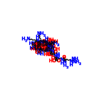 CSCC[C@H](NC(=O)[C@H](CO)NC(=O)[C@@H](NC(=O)[C@H](CO)NC(=O)[C@@H](NC(=O)[C@H](CO)NC(=O)[C@@H](NC(=O)CNC(=O)[C@@H](N)CCCNC(=N)N)[C@@H](C)O)[C@@H](C)O)[C@@H](C)O)C(=O)N[C@@H](CCCCN)C(=O)N[C@@H](CCCCN)C(=O)N[C@@H](C)C(=O)N[C@@H](CO)C(=O)N[C@@H](CO)C(=O)N[C@H](C(=O)N[C@@H](C)C(=O)N[C@@H](CC(N)=O)C(=O)N[C@H](C(=O)N[C@@H](C)C(=O)N[C@@H](CC(=O)O)C(=O)O)C(C)C)[C@@H](C)O